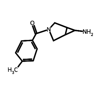 Cc1ccc(C(=O)N2CC3C(N)C3C2)cc1